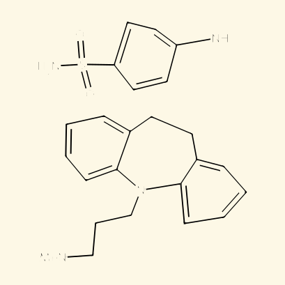 CNCCCN1c2ccccc2CCc2ccccc21.Nc1ccc(S(N)(=O)=O)cc1